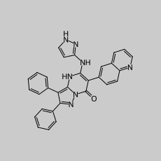 O=c1c(-c2ccc3ncccc3c2)c(Nc2cc[nH]n2)[nH]c2c(-c3ccccc3)c(-c3ccccc3)nn12